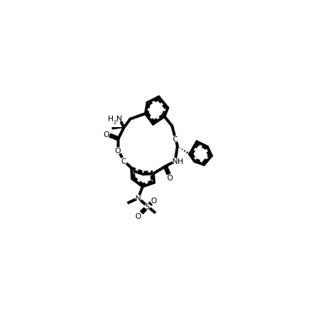 CN(c1cc2cc(c1)C(=O)N[C@@H](c1ccccc1)CCc1cccc(c1)C[C@@](C)(N)C(=O)OC2)S(C)(=O)=O